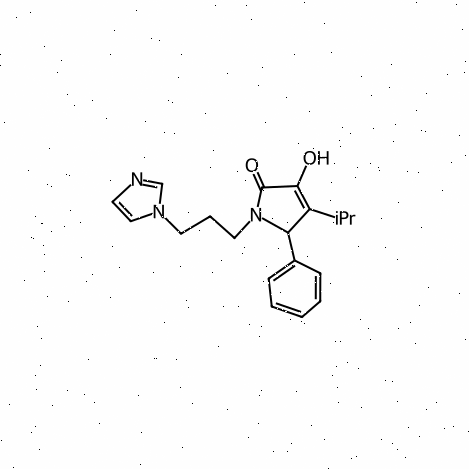 CC(C)C1=C(O)C(=O)N(CCCn2ccnc2)C1c1ccccc1